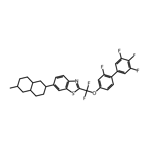 CC1CCC2CC(c3ccc4nc(C(F)(F)Oc5ccc(-c6cc(F)c(F)c(F)c6)c(F)c5)sc4c3)CCC2C1